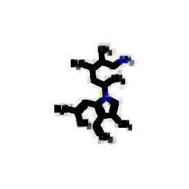 C=Cc1c(C)cn(C(C)CC(C)C(C)CN)c1C=C(C)C